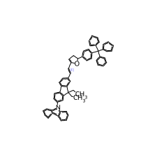 CCC1(CC)c2cc(/C=C/C3=CCC(c4ccc(C(c5ccccc5)(c5ccccc5)c5ccccc5)cc4)O3)ccc2-c2ccc(-n3c4ccccc4c4ccccc43)cc21